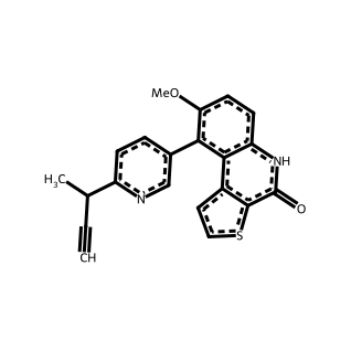 C#CC(C)c1ccc(-c2c(OC)ccc3[nH]c(=O)c4sccc4c23)cn1